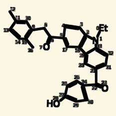 CCn1c2ccc(C(=O)Cc3cc(C)ccc3C)cc2c2cc(C(=O)c3ccc(O)cc3)ccc21